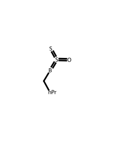 CCCCB=S(=O)=S